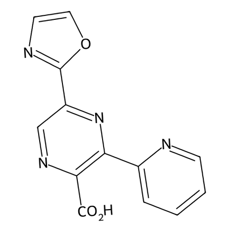 O=C(O)c1ncc(-c2ncco2)nc1-c1ccccn1